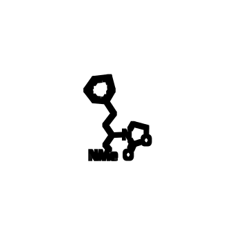 CNCC(CCc1ccccc1)N1CCOC1=O